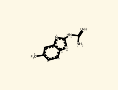 N=C(N)Nc1nc2cc(C(F)(F)F)ccc2o1